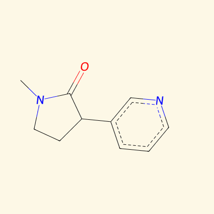 CN1CCC(c2cccnc2)C1=O